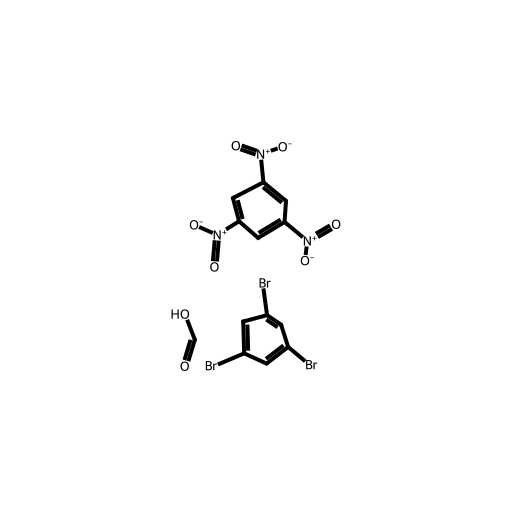 Brc1cc(Br)cc(Br)c1.O=CO.O=[N+]([O-])c1cc([N+](=O)[O-])cc([N+](=O)[O-])c1